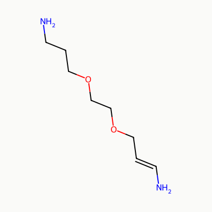 NC=CCOCCOCCCN